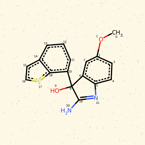 COc1ccc2c(c1)C(O)(c1cccc3ccsc13)C(N)=N2